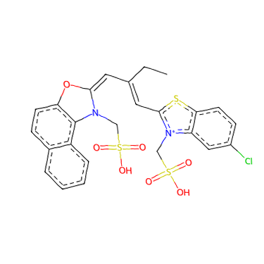 CCC(=Cc1sc2ccc(Cl)cc2[n+]1CS(=O)(=O)O)C=C1Oc2ccc3ccccc3c2N1CS(=O)(=O)O